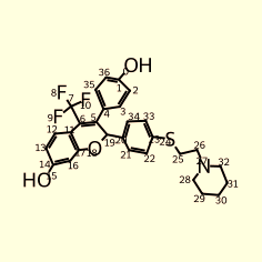 Oc1ccc(C2=C(C(F)(F)F)c3ccc(O)cc3OC2c2ccc(SCCN3CCCCC3)cc2)cc1